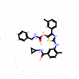 Cc1cccc(-c2nc(Nc3cc(C(=O)NC4CC4)ccc3C)sc2OC(=O)NCc2ccccc2)c1